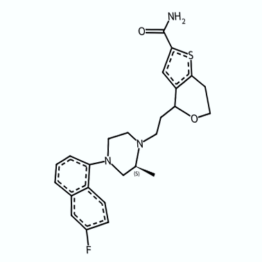 C[C@H]1CN(c2cccc3cc(F)ccc23)CCN1CCC1OCCc2sc(C(N)=O)cc21